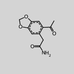 CC(=O)c1cc2c(cc1CC(N)=O)OCO2